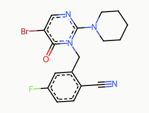 N#Cc1ccc(F)cc1Cn1c(N2CCCCC2)ncc(Br)c1=O